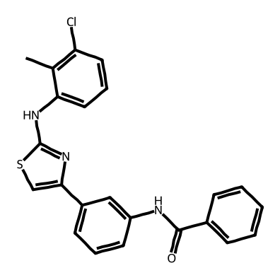 Cc1c(Cl)cccc1Nc1nc(-c2cccc(NC(=O)c3ccccc3)c2)cs1